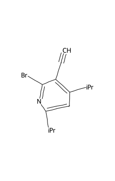 C#Cc1c(C(C)C)cc(C(C)C)nc1Br